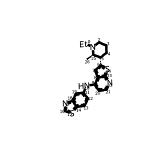 CCN1CCC[C@H](c2cc3c(Nc4ccc5scnc5c4)ccnc3s2)[C@H]1C